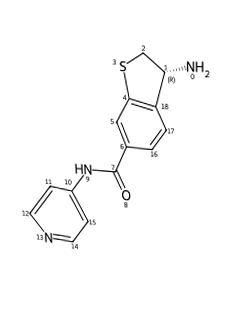 N[C@H]1CSc2cc(C(=O)Nc3ccncc3)ccc21